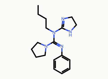 CCCCN(C1=NCCN1)C(=Nc1ccccc1)N1CCCC1